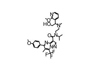 COc1ccc(-c2nc3c(C(=O)N(CCN(C)C(CO)c4cccnc4OC)C(C)C)cnn3c(C(F)(F)F)c2C)cc1